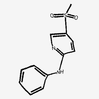 CS(=O)(=O)c1ccc(Nc2ccccc2)nc1